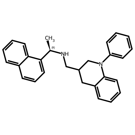 C[C@@H](NCC1Cc2ccccc2N(c2ccccc2)C1)c1cccc2ccccc12